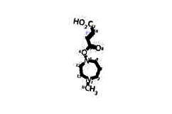 CN1CCCN(OC(=O)/C=C/C(=O)O)CC1